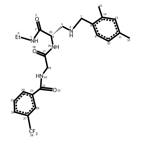 CCNC(=O)[C@H](CNCc1ccc(C)cc1C)NC(=O)CNC(=O)c1cccc(C(F)(F)F)c1